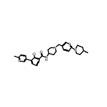 Cc1ccc(-c2cccc(C(=O)NC3CCN(Cc4ccc(N5CCC(C)CC5)nc4)CC3)c2Cl)cn1